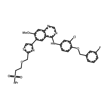 CCCS(=O)(=O)CCOCc1nc(-c2cc3c(Nc4ccc(OCc5cccc(F)c5)c(Cl)c4)ncnc3cc2OC)cs1